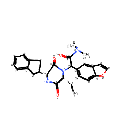 CC(C)C[C@@H]1C(=O)N[C@H](C2Cc3ccccc3C2)C(=O)N1C(C(=O)N(C)C)c1ccc2occc2c1